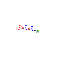 O=C(O)CCOCCNCCOCCNC/C=C/CBr